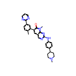 Cc1ccc(-c2ncccn2)cc1-c1cc2cnc(Nc3ccc(C4CCN(C)CC4)cc3)nc2n(C)c1=O